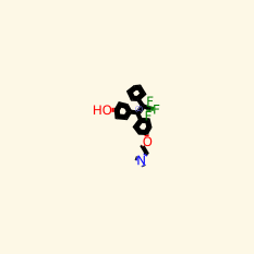 CN(C)CCOc1ccc(/C(=C(/c2ccccc2)C(F)(F)F)c2ccc(O)cc2)cc1